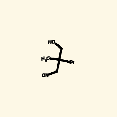 CC(C)C(C)(CO)CN=O